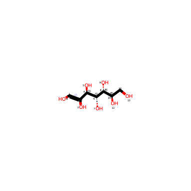 O/C=C(\O)[C@@H](O)[C@@H](O)[C@H](O)[C@H](O)CO